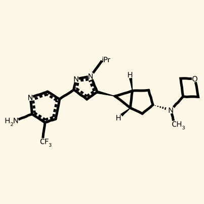 CC(C)n1nc(-c2cnc(N)c(C(F)(F)F)c2)cc1[C@H]1[C@@H]2C[C@H](N(C)C3COC3)C[C@@H]21